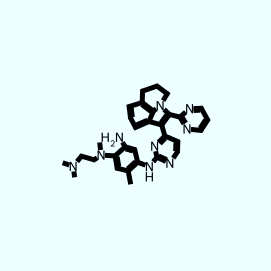 Cc1cc(N(C)CCN(C)C)c(N)cc1Nc1nccc(-c2c(-c3ncccn3)n3c4c(cccc24)CCC3)n1